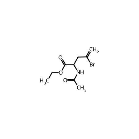 C=C(Br)CC(NC(C)=O)C(=O)OCC